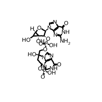 Nc1nc2c(ncn2[C@@H]2O[C@@H]3C(O)[C@]3(O)[C@H]2OP(=O)(O)OC[C@@](O)(CCO[PH](=O)O)n2cnc3c(=O)[nH]cnc32)c(=O)[nH]1